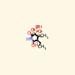 CCc1c(O)[nH]c(=O)c(S(=O)(=O)O)c1C